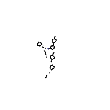 C=CC(=O)OCOc1ccc(OC(=O)C2CCC(C(=O)Oc3ccc(C4CCC(CC)CC4)cc3/C=N/N(CCCCCC)c3nc4ccccc4s3)CC2)cc1